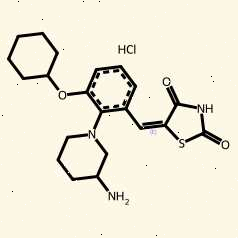 Cl.NC1CCCN(c2c(/C=C3/SC(=O)NC3=O)cccc2OC2CCCCC2)C1